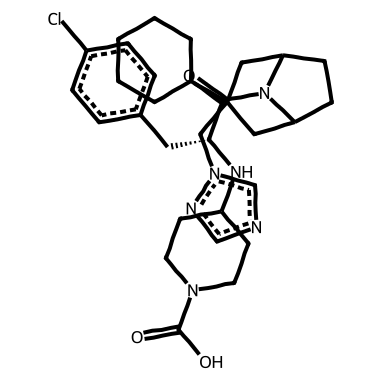 O=C(O)N1CCC(N[C@H](Cc2ccc(Cl)cc2)C(=O)N2C3CCC2CC(Cn2cncn2)(C2CCCCC2)C3)CC1